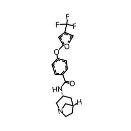 O=C(N[C@@H]1C[C@@H]2CCN(C2)C1)c1ccc(Oc2cc(C(F)(F)F)co2)cc1